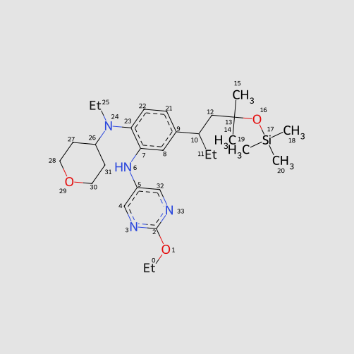 CCOc1ncc(Nc2cc(C(CC)CC(C)(C)O[Si](C)(C)C)ccc2N(CC)C2CCOCC2)cn1